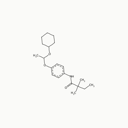 CCC(C)(C)C(=O)Nc1ccc(OC(C)OC2CCCCC2)cc1